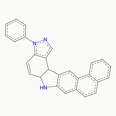 C1=CC2Nc3cc4ccc5ccccc5c4cc3C2c2cnn(-c3ccccc3)c21